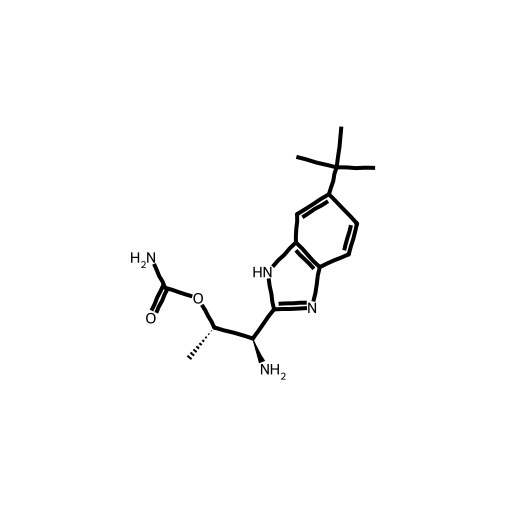 C[C@H](OC(N)=O)[C@H](N)c1nc2ccc(C(C)(C)C)cc2[nH]1